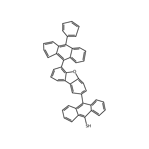 Sc1c2ccccc2c(-c2ccc3oc4c(-c5c6ccccc6c(-c6ccccc6)c6ccccc56)cccc4c3c2)c2ccccc12